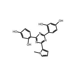 Cn1cccc1-c1nc(-c2ccc(O)cc2O)nc(-c2ccc(O)cc2O)n1